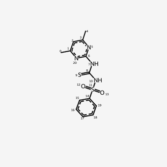 Cc1cc(C)nc(NC(=S)NS(=O)(=O)c2ccccc2)n1